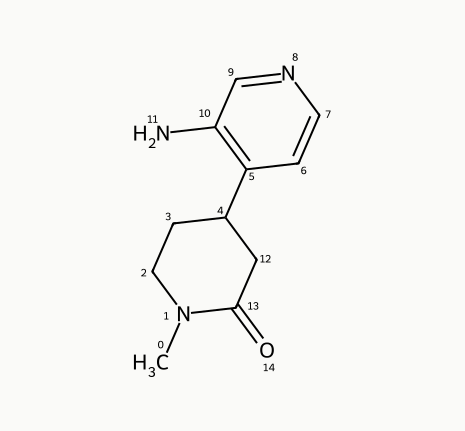 CN1CCC(c2ccncc2N)CC1=O